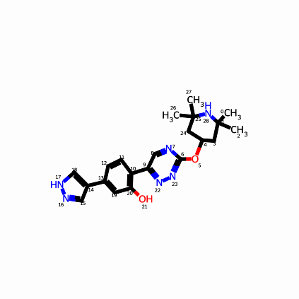 CC1(C)CC(Oc2ncc(-c3ccc(-c4cn[nH]c4)cc3O)nn2)CC(C)(C)N1